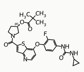 CC(C)(C)C(=O)O[C@@H]1CCN(C(=O)c2cc3nccc(Oc4ccc(NC(=O)NC5CC5)cc4F)c3s2)C1